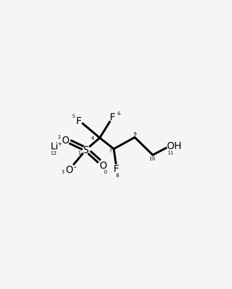 O=S(=O)([O-])C(F)(F)C(F)CCO.[Li+]